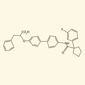 O=C(O)C(Cc1ccccc1)Oc1ccc(-c2ccc(NC(=O)C3(c4cccc(F)c4)CCCC3)cc2)cc1